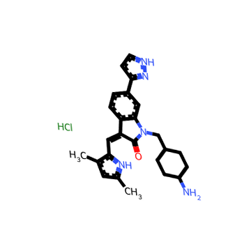 Cc1cc(C)c(/C=C2\C(=O)N(CC3CCC(N)CC3)c3cc(-c4cc[nH]n4)ccc32)[nH]1.Cl